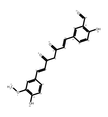 COc1cc(/C=C/C(=O)CC(=O)/C=C/c2ccc(O)c(C=O)c2)ccc1O